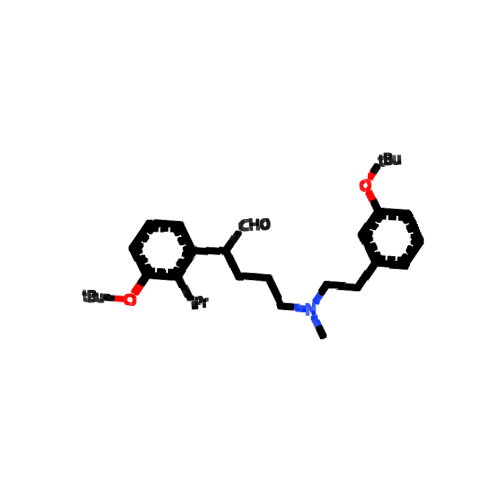 CC(C)c1c(OC(C)(C)C)cccc1C(C=O)CCCN(C)CCc1cccc(OC(C)(C)C)c1